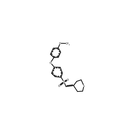 O=S(=O)(C=C1CCSCC1)c1ccc(Oc2ccc(OC(F)(F)F)cc2)cc1